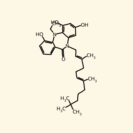 CCN1c2c(O)cccc2C(=O)N(C/C=C(\C)CC/C=C(\C)CCCC(C)(C)C)c2cc(O)cc(O)c21